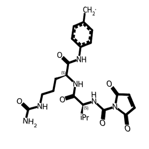 [CH2]c1ccc(NC(=O)[C@H](CCCNC(N)=O)NC(=O)[C@@H](NC(=O)N2C(=O)C=CC2=O)C(C)C)cc1